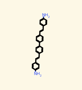 Nc1ccc(/C=C/c2ccc(-c3ccc(/C=C/c4ccc(N)cc4)cc3)cc2)cc1